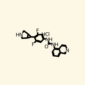 Cl.O=C(Nc1cc(F)c(C2C3CNCC32)c(F)c1)Nc1cccc2cnccc12